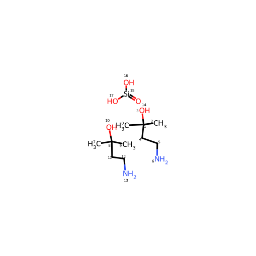 CC(C)(O)CCN.CC(C)(O)CCN.O=[Si](O)O